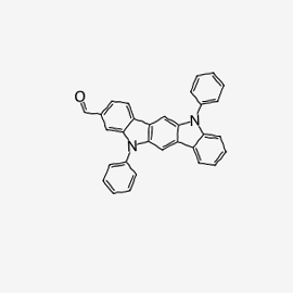 O=Cc1ccc2c3cc4c(cc3n(-c3ccccc3)c2c1)c1ccccc1n4-c1ccccc1